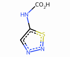 O=C(O)Nc1cnns1